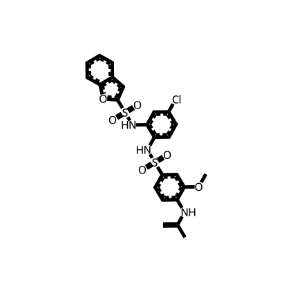 C=C(C)Nc1ccc(S(=O)(=O)Nc2ccc(Cl)cc2NS(=O)(=O)c2cc3ccccc3o2)cc1OC